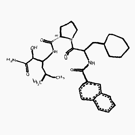 CC(C)C(NC(=O)[C@@H]1CCCN1C(=O)C(CC1CCCCC1)NC(=O)c1ccc2ccccc2c1)C(O)C(N)=O